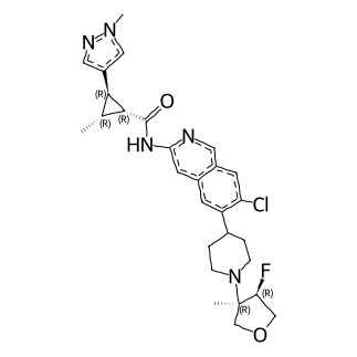 C[C@H]1[C@@H](C(=O)Nc2cc3cc(C4CCN([C@]5(C)COC[C@@H]5F)CC4)c(Cl)cc3cn2)[C@@H]1c1cnn(C)c1